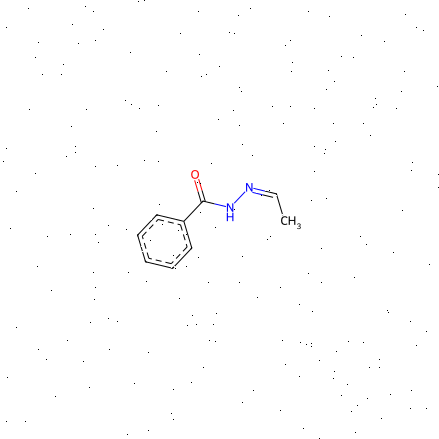 C/C=N\NC(=O)c1ccccc1